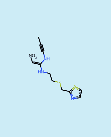 CC#CNC(=C[N+](=O)[O-])NCCSCc1nccs1